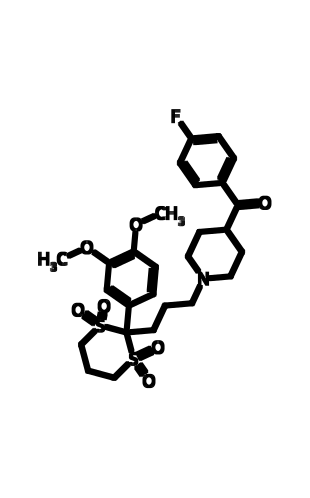 COc1ccc(C2(CCCN3CCC(C(=O)c4ccc(F)cc4)CC3)S(=O)(=O)CCCS2(=O)=O)cc1OC